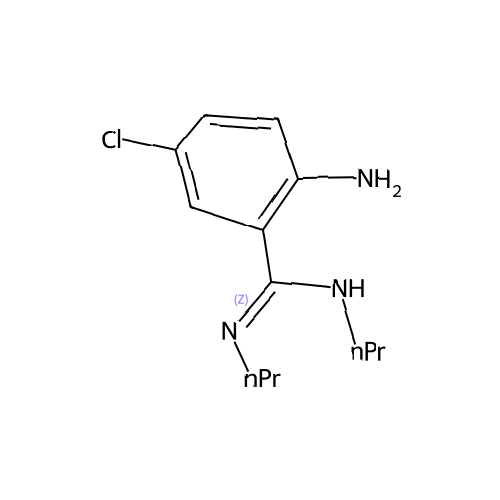 CCC/N=C(\NCCC)c1cc(Cl)ccc1N